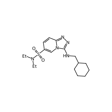 CCN(CC)S(=O)(=O)c1ccc2nnc(NCC3CCCCC3)n2c1